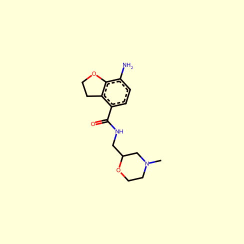 CN1CCOC(CNC(=O)c2ccc(N)c3c2CCO3)C1